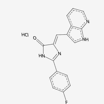 Cl.O=C1NC(c2ccc(F)cc2)=N/C1=C\c1c[nH]c2ncccc12